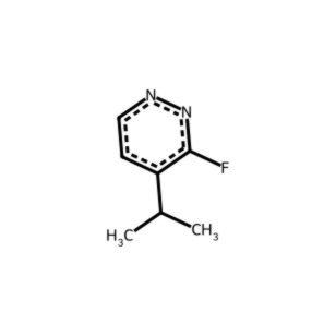 CC(C)c1ccnnc1F